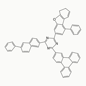 C1=Cc2c(oc3cc(-c4nc(-c5ccc6cc(-c7ccccc7)ccc6c5)nc(-c5ccc6c7ccccc7c7ccccc7c6c5)n4)cc(-c4ccccc4)c23)CC1